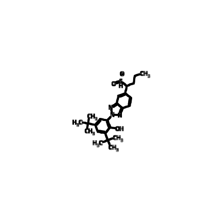 CCCC(c1ccc2nn(-c3cc(C(C)(C)C)cc(C(C)(C)C)c3O)nc2c1)[SH](=O)=O